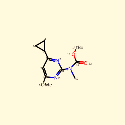 COc1cc(C2CC2)nc(N(C)C(=O)OC(C)(C)C)n1